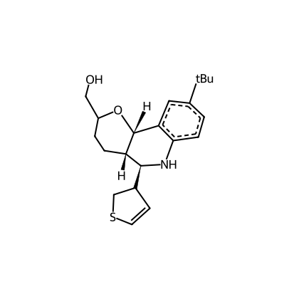 CC(C)(C)c1ccc2c(c1)[C@H]1OC(CO)CC[C@H]1[C@H](C1C=CSC1)N2